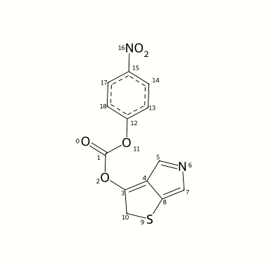 O=C(OC1=C2C=NC=C2SC1)Oc1ccc([N+](=O)[O-])cc1